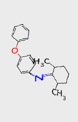 CC1CCCC(C)C1=Nc1ccc(Oc2ccccc2)cc1